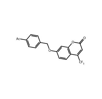 CC(=O)c1ccc(COc2ccc3c(C(F)(F)F)cc(=O)oc3c2)cc1